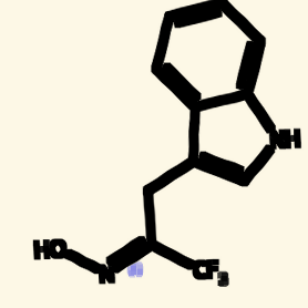 O/N=C(\Cc1c[nH]c2ccccc12)C(F)(F)F